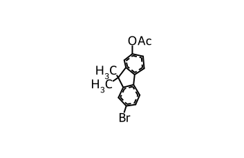 CC(=O)Oc1ccc2c(c1)C(C)(C)c1cc(Br)ccc1-2